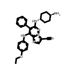 CCOc1ccc(Nc2c(-c3ccccc3)c(N[C@H]3CC[C@H](N)CC3)nn3c(C#N)cnc23)cc1